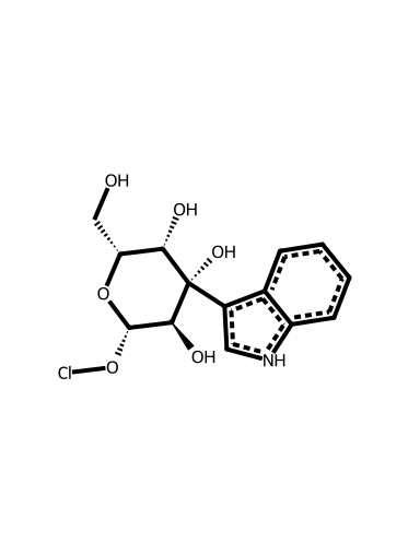 OC[C@H]1O[C@@H](OCl)[C@H](O)[C@](O)(c2c[nH]c3ccccc23)[C@H]1O